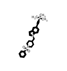 C[Si](C)(C)C#Cc1ccc2c(ccn2CC2CCN(S(=O)(=O)c3ccccc3)CC2)c1